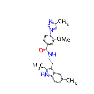 COc1cc(C(=O)NCCc2c(C)[nH]c3ccc(C)cc23)ccc1-n1cnc(C)c1